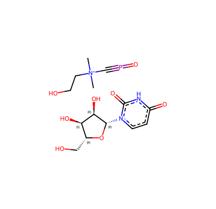 C[N+](C)(C#P=O)CCO.O=c1ccn([C@@H]2O[C@H](CO)[C@@H](O)[C@H]2O)c(=O)[nH]1